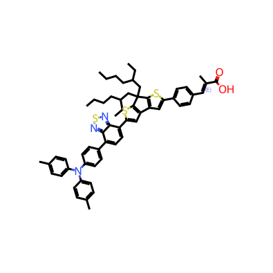 CCCCC(CC)CC1(CC(CC)CCCC)c2sc(-c3ccc(/C=C(\C)C(=O)O)cc3)cc2-c2cc(-c3ccc(-c4ccc(N(c5ccc(C)cc5)c5ccc(C)cc5)cc4)c4nsnc34)sc21